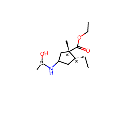 CCOC(=O)[C@@]1(C)CC(NB(C)O)C[C@H]1CC